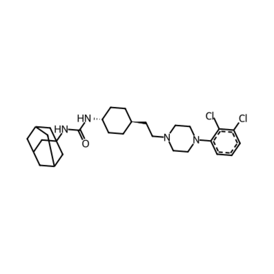 O=C(NC12CC3CC(CC(C3)C1)C2)N[C@H]1CC[C@H](CCN2CCN(c3cccc(Cl)c3Cl)CC2)CC1